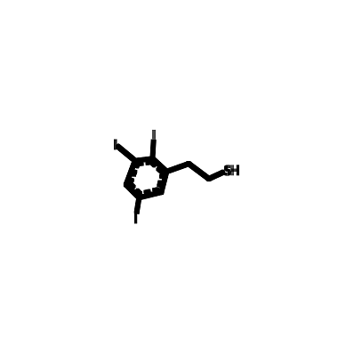 SCCc1cc(I)cc(I)c1I